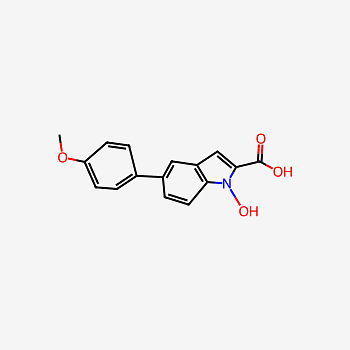 COc1ccc(-c2ccc3c(c2)cc(C(=O)O)n3O)cc1